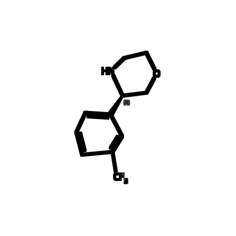 FC(F)(F)c1cccc([C@@H]2COCCN2)c1